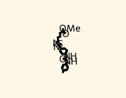 COC(=O)CCCc1nnc(-c2ccc(NC(=O)Nc3ccc(C)cc3)cc2)s1